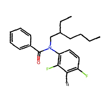 CCCCC(CC)CN(C(=O)c1ccccc1)c1ccc(F)[c]([Ti])c1F